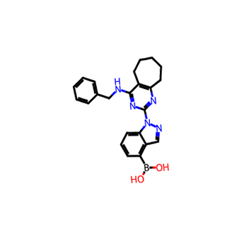 OB(O)c1cccc2c1cnn2-c1nc2c(c(NCc3ccccc3)n1)CCCCC2